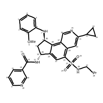 COc1ccccc1N[C@@H]1C[C@@H](NC(=O)c2cccnc2)c2cc(S(=O)(=O)NCC(C)C)c3cc(C4CC4)ncc3c21